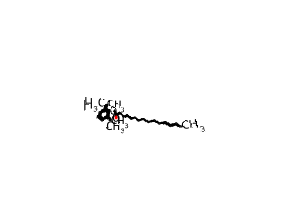 CCCCCCCCCCCCCCCC(=O)Oc1c(C(C)C)cccc1C(C)C